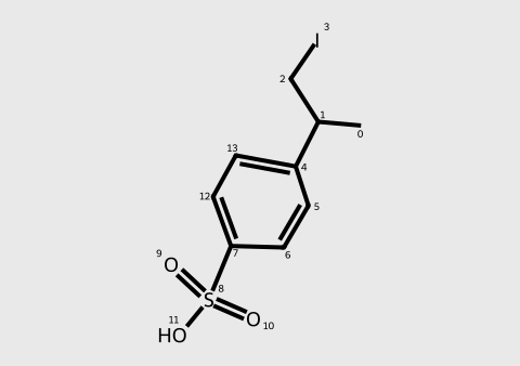 CC(CI)c1ccc(S(=O)(=O)O)cc1